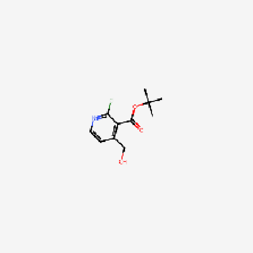 CC(C)(C)OC(=O)c1c(CO)ccnc1Cl